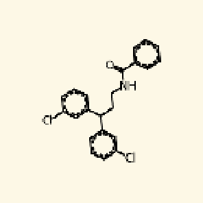 O=C(NCCC(c1cccc(Cl)c1)c1cccc(Cl)c1)c1ccccc1